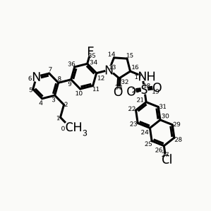 CCCc1ccncc1-c1ccc(N2CCC(NS(=O)(=O)c3ccc4cc(Cl)ccc4c3)C2=O)c(F)c1